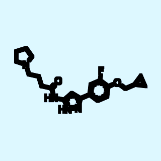 O=C(CCCN1CCCC1)Nc1cc(-c2ccc(OCC3CC3)c(F)c2)n[nH]1